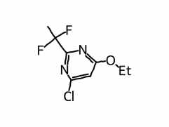 CCOc1cc(Cl)nc(C(C)(F)F)n1